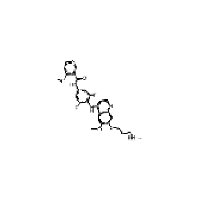 CNCCCOc1cc2nccc(Nc3c(F)cc(NC(=O)c4cnccc4OC)cc3F)c2cc1OC